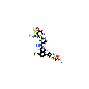 CC(C)c1ccc([C@H]2C[C@H](CS(C)(=O)=O)C2)c2cnc(Nc3ccnc(N4CC[C@@H](O)[C@@](C)(F)C4)n3)cc12